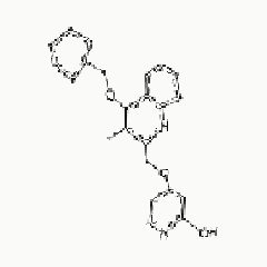 Cc1c(COc2ccnc(O)c2)nc2ccccc2c1OCc1ccccc1